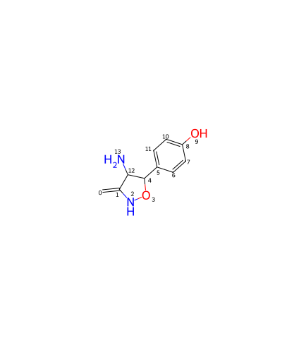 C=C1NOC(c2ccc(O)cc2)C1N